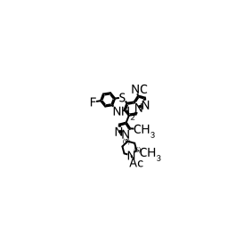 CC(=O)N1CC[C@H](n2ncc(-c3cc(Sc4ccc(F)cc4N)c4c(C#N)cnn4c3)c2C)C[C@@H]1C